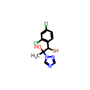 CC(O)(C(S)c1ccc(Cl)cc1Cl)n1cncn1